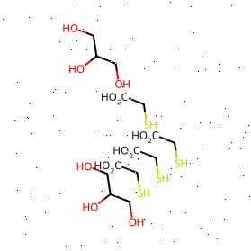 O=C(O)CS.O=C(O)CS.O=C(O)CS.O=C(O)CS.OCC(O)CO.OCC(O)CO